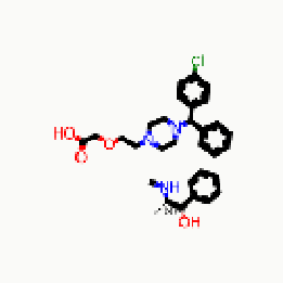 CN[C@@H](C)[C@@H](O)c1ccccc1.O=C(O)COCCN1CCN(C(c2ccccc2)c2ccc(Cl)cc2)CC1